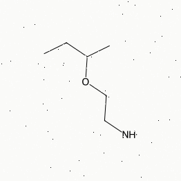 CCC(C)OCC[NH]